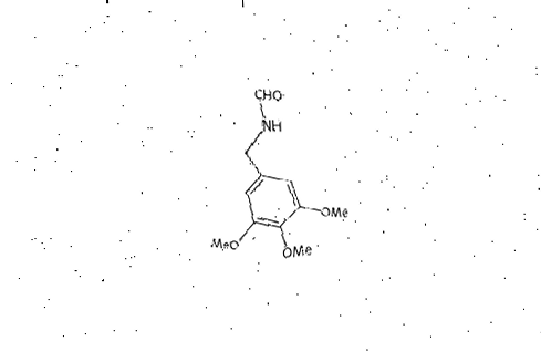 COc1cc(CN[C]=O)cc(OC)c1OC